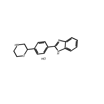 Cl.c1ccc2[nH]c(-c3ccc(C4CNCCO4)cc3)nc2c1